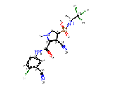 C[C@@H](NS(=O)(=O)C1CN(C)C(C(=O)Nc2ccc(F)c(C#N)c2)=C1C#N)C(F)(F)F